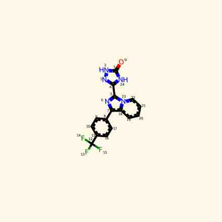 O=c1[nH]nc(-c2nc(-c3ccc(C(F)(F)F)cc3)c3ccccn23)[nH]1